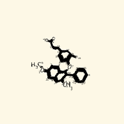 COc1ccc2c(Oc3ccc(/C=C/C(=O)O)cc3F)c(-c3ccccc3)c(C)cc2c1